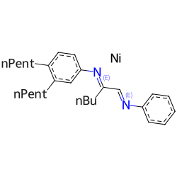 CCCCCc1ccc(/N=C(/C=N/c2ccccc2)CCCC)cc1CCCCC.[Ni]